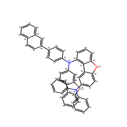 c1ccc(N(c2ccccc2)c2ccc3oc4cccc(N(c5ccc(-c6ccc7ccccc7c6)cc5)c5ccc6c(c5)sc5ccccc56)c4c3c2)cc1